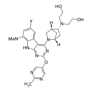 CNc1cc(F)cc2c1[nH]c1nc(Oc3cnc(C)nc3)nc(N3C[C@H]4C[C@@H]3C[C@H]4N(CCO)CCO)c12